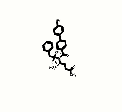 CC(C)c1ccc(-c2ccc(C(=O)N([C@@H](CCC(N)=O)C(=O)O)C(C)(C)Cc3ccccc3)cc2)cc1